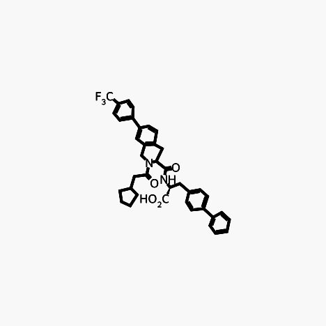 O=C(N[C@@H](Cc1ccc(-c2ccccc2)cc1)C(=O)O)C1Cc2ccc(-c3ccc(C(F)(F)F)cc3)cc2CN1C(=O)CC1CCCC1